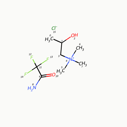 CC(O)C[N+](C)(C)C.NC(=O)C(F)(F)F.[Cl-]